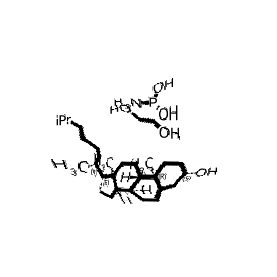 CC(C)CCC[C@@H](C)[C@H]1CC[C@H]2[C@@H]3CC=C4C[C@@H](O)CC[C@]4(C)[C@H]3CC[C@]12C.NP(O)O.OCCO